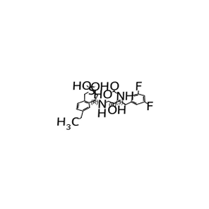 CCc1ccc2c(c1)[C@@H](NC[C@@H](O)[C@H](Cc1cc(F)cc(F)c1)NC(=O)O)CS(O)(O)C2